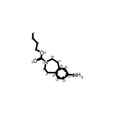 CCCCOC(=O)N1CCc2ccc(N)cc2CC1